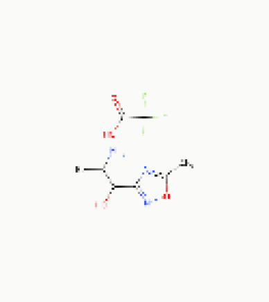 CCC(N)C(O)c1noc(C(F)(F)F)n1.O=C(O)C(F)(F)F